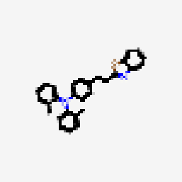 Cc1ccccc1N(c1ccc(C=Cc2nc3ccccc3s2)cc1)c1ccccc1C